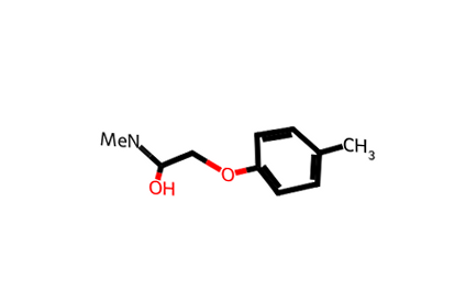 CNC(O)COc1ccc(C)cc1